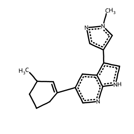 CC1C=C(c2cnc3[nH]cc(-c4cnn(C)c4)c3c2)CCC1